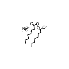 CCCCCCCC(=O)[O-].CCCCCCCC(=O)[O-].[Al].[Ni+2]